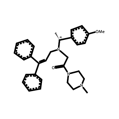 COc1ccc([C@@H](C)N(CC=C(c2ccccc2)c2ccccc2)CC(=O)N2CCN(C)CC2)cc1